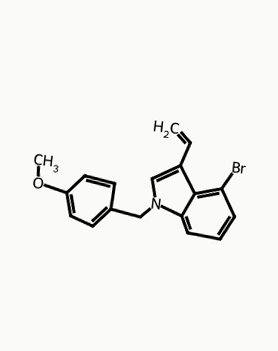 C=Cc1cn(Cc2ccc(OC)cc2)c2cccc(Br)c12